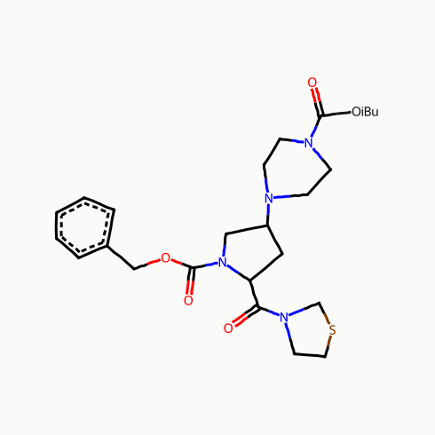 CC(C)COC(=O)N1CCN(C2CC(C(=O)N3CCSC3)N(C(=O)OCc3ccccc3)C2)CC1